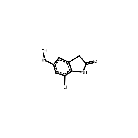 O=C1Cc2cc(NO)cc(Cl)c2N1